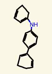 C1=CCCC(Nc2ccc(C3=CCCC=C3)cc2)=C1